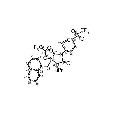 CC(C)[C@@H]1C(=O)N(c2ccc(S(=O)(=O)C(F)(F)F)cc2)C(=O)[N+]1(Cc1ccnc2ccccc12)OC(=O)C(F)(F)F